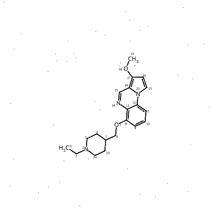 CCN1CCC(COc2cccc3c2ncc2c(OC)ccn23)CC1